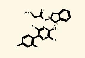 CCc1nc(-c2ccc(Cl)cc2Cl)c(CC)nc1N[C@H]1c2ccccc2C[C@@H]1OC(=O)CNC